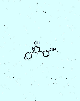 Oc1cccc(-c2cc(O)nc(N3CCOCC3)n2)c1